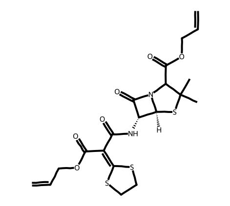 C=CCOC(=O)C(C(=O)N[C@@H]1C(=O)N2C(C(=O)OCC=C)C(C)(C)S[C@@H]12)=C1SCCS1